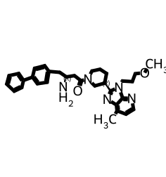 COCCCn1c([C@@H]2CCCN(C(=O)C[C@H](N)Cc3ccc(-c4ccccc4)cc3)C2)nc2c(C)ccnc21